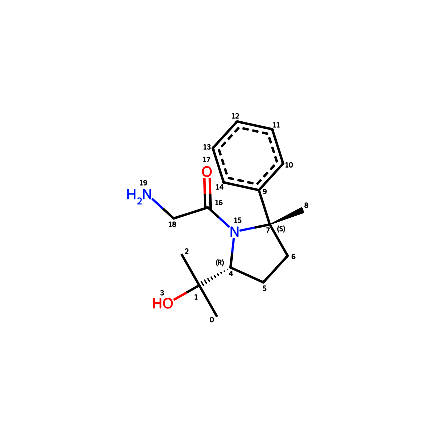 CC(C)(O)[C@H]1CC[C@@](C)(c2ccccc2)N1C(=O)CN